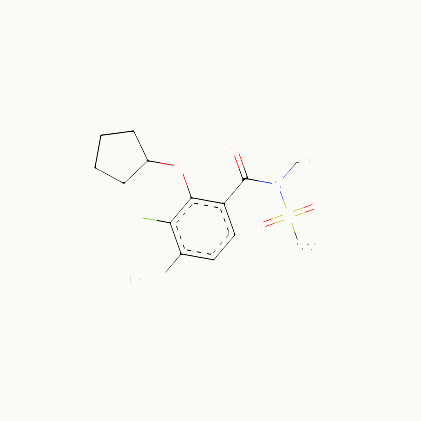 CNS(=O)(=O)N(C(=O)c1ccc(C(=O)O)c(F)c1OC1CCCC1)C(C)C